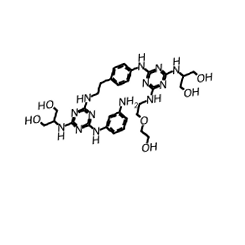 Nc1cccc(Nc2nc(NCCc3ccc(Nc4nc(NCCOCCO)nc(NC(CO)CO)n4)cc3)nc(NC(CO)CO)n2)c1